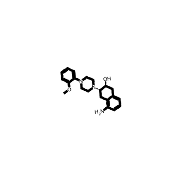 COc1ccccc1N1CCN([C@H]2Cc3c(N)cccc3C[C@@H]2O)CC1